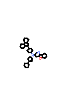 c1ccc(-c2ccc(N(c3ccc(-c4cc5ccccc5c5ccccc45)cc3)c3cnc4c(c3)oc3ccccc34)cc2)cc1